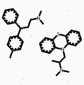 CC(CN1c2ccccc2Sc2ccccc21)N(C)C.Cc1ccc(C(CCN(C)C)c2ccccc2)cc1